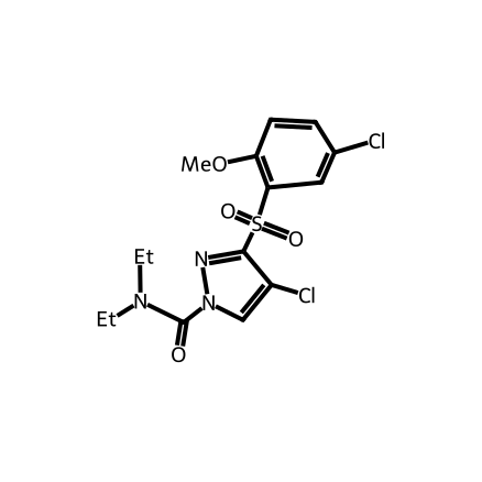 CCN(CC)C(=O)n1cc(Cl)c(S(=O)(=O)c2cc(Cl)ccc2OC)n1